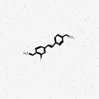 C=Cc1ccc(/C=C/c2ccc(CC)cc2)cc1F